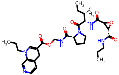 CCCNC(=O)[C@H]1OC1C(=O)N[C@H](C(=O)N1CCC[C@H]1C(=O)NCOC(=O)C1=CN(CCC)c2cnccc2C1)[C@@H](C)CC